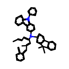 C=c1cccc/c1=C/C(C)=C/C(=C\C=C\C)N(c1ccc2c(c1)C(C)(C)c1ccccc1-2)c1ccc2c(c1)c1ccccc1n2-c1ccccc1